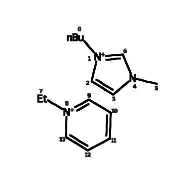 CCCC[n+]1ccn(C)c1.CC[n+]1ccccc1